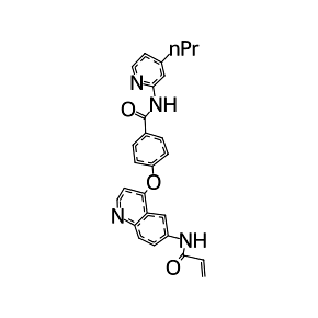 C=CC(=O)Nc1ccc2nccc(Oc3ccc(C(=O)Nc4cc(CCC)ccn4)cc3)c2c1